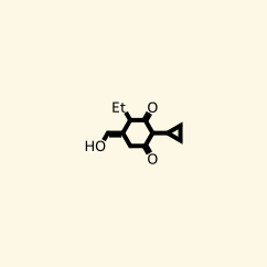 CCC1C(=O)C(C2CC2)C(=O)CC1=CO